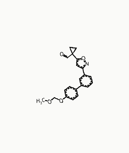 COCOc1ccc(-c2cccc(-c3cc(C4(C=O)CC4)on3)c2)cc1